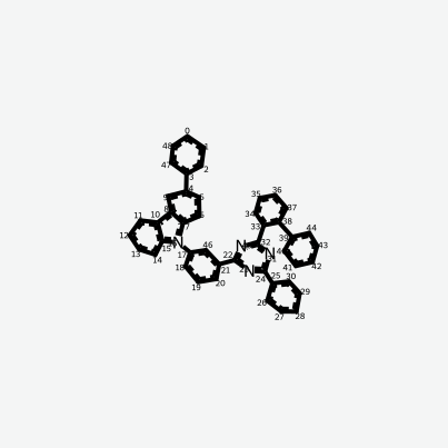 c1ccc(-c2ccc3c(c2)c2ccccc2n3-c2cccc(-c3nc(-c4ccccc4)nc(-c4ccccc4-c4ccccc4)n3)c2)cc1